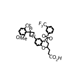 COc1cccc(C(F)(F)F)c1C1(F)CN(c2ccc3c(c2)N(S(=O)(=O)c2cccc(C(F)(F)F)c2)CC(CCC(=O)O)O3)C1